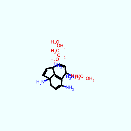 NC1=CCC2(N)C=CC3(N)C=CC(N)C1=C32.O.O.O.O.O.O.O.O